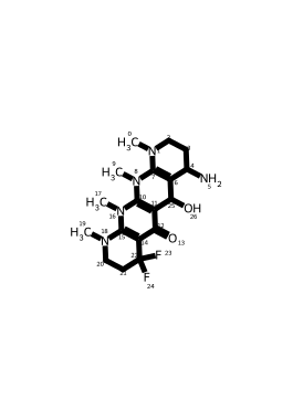 CN1CCC(N)C2=C1N(C)c1c(c(=O)c3c(n1C)N(C)CCC3(F)F)C2O